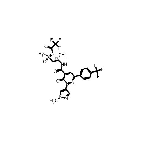 C[C@@H](CS(C)(=O)=NC(=O)C(F)(F)F)NC(=O)c1cc(-c2ccc(C(F)(F)F)cc2)nn(-c2cnn(C)c2)c1=O